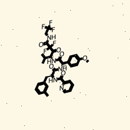 COc1ccc([C@H](NC(=O)[C@H](Cc2cccc(C)c2)NC(=O)c2ccccn2)C(=O)N[C@H](C(=O)C(F)(F)C(=O)NCC(F)(F)F)C(C)C)cc1